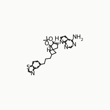 CC1(C)O[C@H]2[C@H](n3ccc4c(N)ncnc43)CC3(CC(CCCc4ccc5scnc5c4)C3)[C@H]2O1